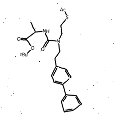 CC(=O)SCCN(CCc1ccc(-c2ccccc2)cc1)C(=O)NC(C)C(=O)OC(C)(C)C